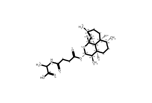 CC(NC(=O)CCC(=O)O[C@@H]1O[C@@H]2O[C@@]3(C)CC[C@H]4[C@H](C)CC[C@@H]([C@H]1C)[C@@]24OO3)C(=O)O